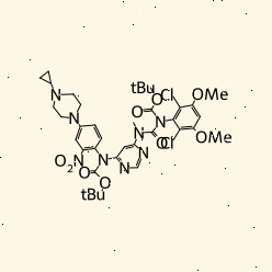 COc1cc(OC)c(Cl)c(N(C(=O)OC(C)(C)C)C(=O)N(C)c2cc(N(C(=O)OC(C)(C)C)c3ccc(N4CCN(C5CC5)CC4)cc3[N+](=O)[O-])ncn2)c1Cl